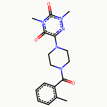 Cc1ccccc1C(=O)N1CCN(c2nn(C)c(=O)n(C)c2=O)CC1